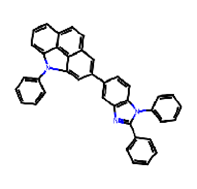 c1ccc(-c2nc3cc(-c4cc5ccc6cccc7c6c5c(c4)n7-c4ccccc4)ccc3n2-c2ccccc2)cc1